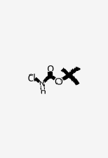 CC(C)(C)OC(=O)NCl